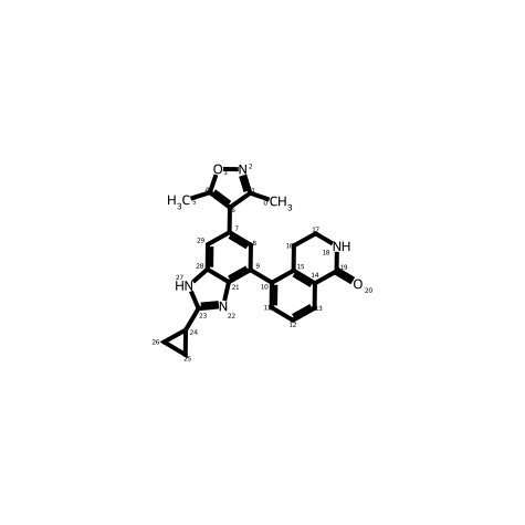 Cc1noc(C)c1-c1cc(-c2cccc3c2CCNC3=O)c2nc(C3CC3)[nH]c2c1